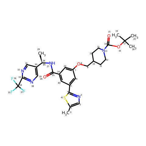 Cc1cnc(-c2cc(OCC3CCN(C(=O)OC(C)(C)C)CC3)cc(C(=O)N[C@H](C)c3cnc(C(F)(F)F)nc3)c2)s1